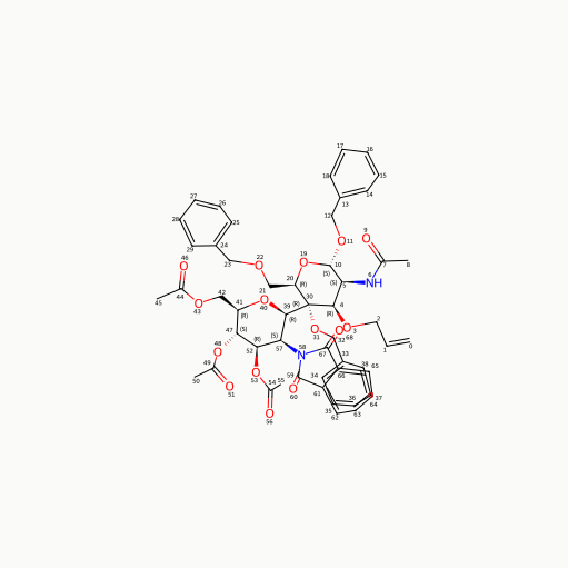 C=CCO[C@@H]1[C@H](NC(C)=O)[C@@H](OCc2ccccc2)O[C@H](COCc2ccccc2)[C@]1(OCc1ccccc1)[C@@H]1O[C@H](COC(C)=O)[C@@H](OC(C)=O)[C@H](OC(C)=O)[C@@H]1N1C(=O)c2ccccc2C1=O